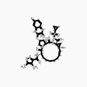 Cc1nc2ccc(F)cc2nc1O[C@@H]1C[C@H]2C(=O)N[C@]3(C(=O)OS(=O)(=O)C4CC4)C[C@H]3/C=C\CCCCC[C@H](NC(=O)c3noc(C)c3C)C(=O)N2C1